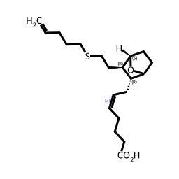 C=CCCCSCC[C@H]1[C@@H]2CCC(O2)[C@@H]1C/C=C\CCCC(=O)O